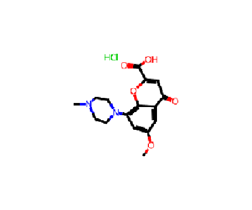 COc1cc(N2CCN(C)CC2)c2oc(C(=O)O)cc(=O)c2c1.Cl